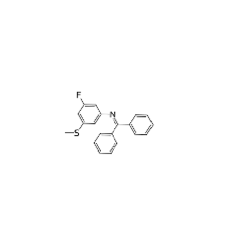 CSc1cc(F)cc(N=C(c2ccccc2)c2ccccc2)c1